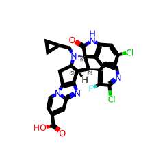 O=C(O)c1ccn2c3c(nc2c1)[C@@H]1C(C3)N(CC2CC2)[C@@]2(C(=O)Nc3cc(Cl)ccc32)[C@H]1c1ccnc(Cl)c1F